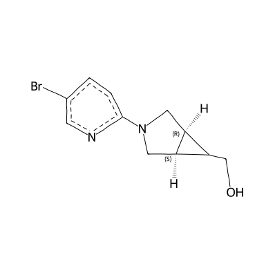 OCC1[C@H]2CN(c3ccc(Br)cn3)C[C@@H]12